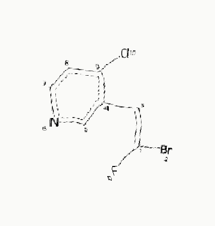 F/C(Br)=C\c1cnccc1Cl